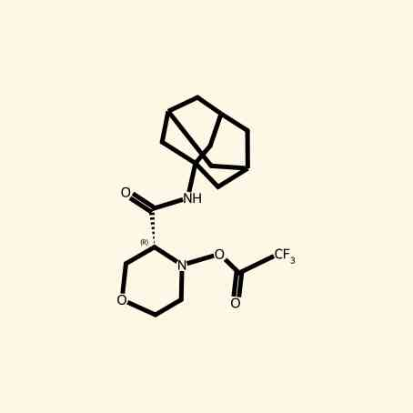 O=C(NC12CC3CC(CC(C3)C1)C2)[C@H]1COCCN1OC(=O)C(F)(F)F